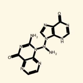 Nc1nc(=O)c2nccnc2n1N(N)n1cnc2c(=O)nc[nH]c21